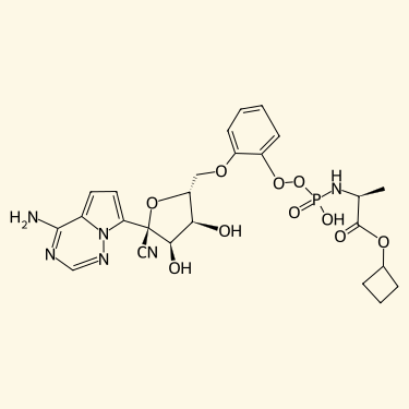 C[C@H](NP(=O)(O)OOc1ccccc1OC[C@H]1O[C@@](C#N)(c2ccc3c(N)ncnn23)[C@H](O)[C@@H]1O)C(=O)OC1CCC1